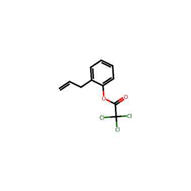 C=CCc1ccccc1OC(=O)C(Cl)(Cl)Cl